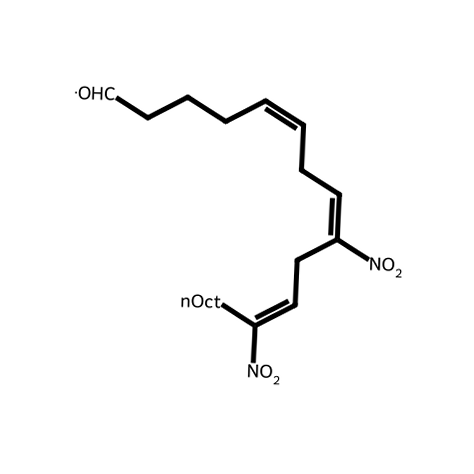 CCCCCCCC/C(=C\C/C(=C\C/C=C\CCC[C]=O)[N+](=O)[O-])[N+](=O)[O-]